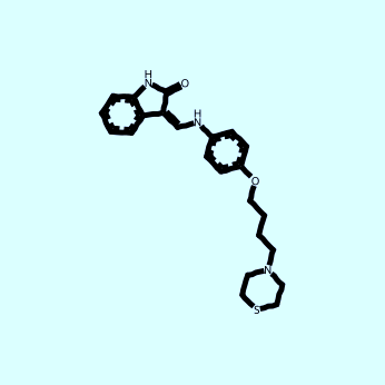 O=C1Nc2ccccc2C1=CNc1ccc(OCCCCN2CCSCC2)cc1